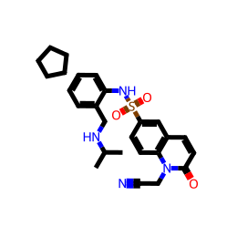 C1CCCC1.CC(C)NCc1ccccc1NS(=O)(=O)c1ccc2c(ccc(=O)n2CC#N)c1